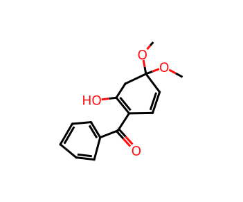 COC1(OC)C=CC(C(=O)c2ccccc2)=C(O)C1